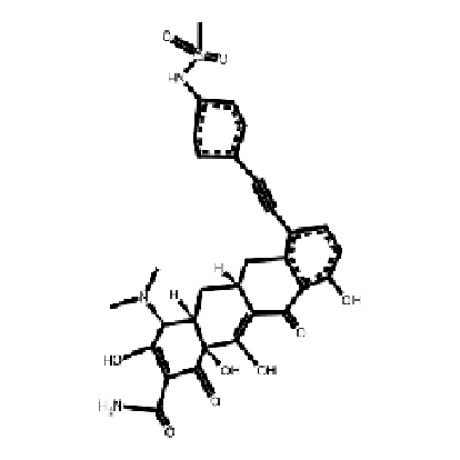 CN(C)[C@@H]1C(O)=C(C(N)=O)C(=O)[C@@]2(O)C(O)=C3C(=O)c4c(O)ccc(C#Cc5ccc(NS(C)(=O)=O)cc5)c4C[C@H]3C[C@@H]12